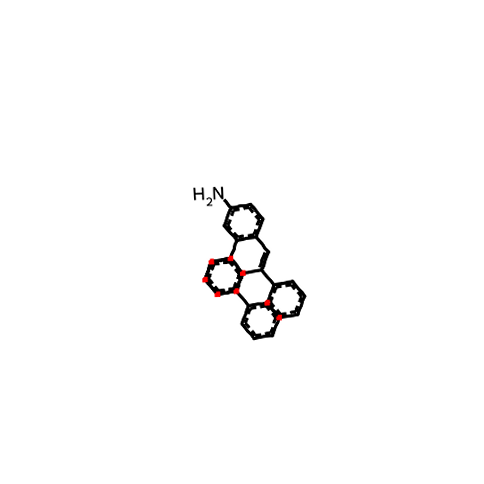 Nc1ccc(C=C(c2ccccc2)c2ccccc2-c2ccccc2)c(-c2ccccc2)c1